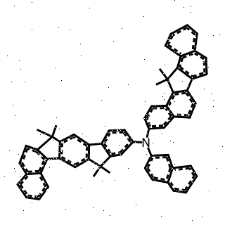 CC1(C)c2cc(N(c3ccc4ccccc4c3)c3ccc4c5c(ccc4c3)-c3ccc4ccccc4c3C5(C)C)ccc2-c2cc3c(cc21)-c1c(ccc2ccccc12)C3(C)C